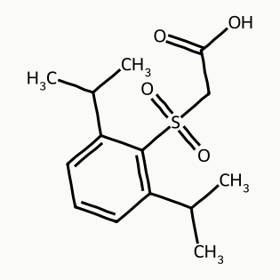 CC(C)c1cccc(C(C)C)c1S(=O)(=O)CC(=O)O